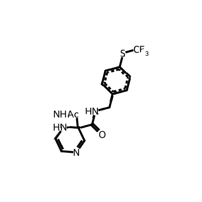 CC(=O)NC1(C(=O)NCc2ccc(SC(F)(F)F)cc2)C=NC=CN1